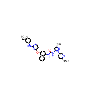 COc1ccc(-n2nc(C(C)(C)C)cc2NC(=O)Nc2ccc(Oc3ccnc(Nc4cccc(CS(=O)(=O)O)c4)n3)c3ccccc23)cn1